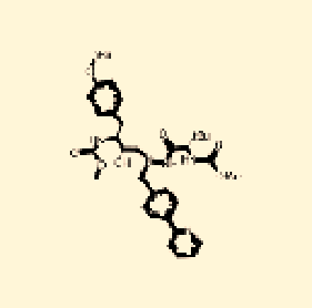 CCCCOc1ccc(C[C@H](NC(=O)OI)[C@@H](O)CN(Cc2ccc(-c3ccccn3)cc2)NC(=O)[C@@H](NC(=O)OC)C(C)(C)C)cc1